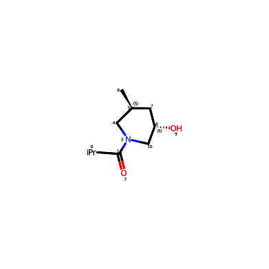 CC(C)C(=O)N1C[C@@H](C)C[C@H](O)C1